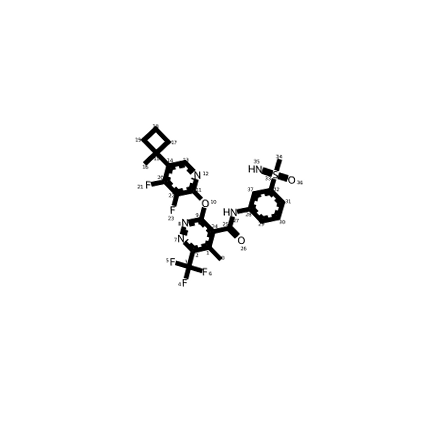 Cc1c(C(F)(F)F)nnc(Oc2ncc(C3(C)CCC3)c(F)c2F)c1C(=O)Nc1cccc(S(C)(=N)=O)c1